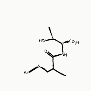 CC(=O)SCC(C)C(=O)N[C@H](C(=O)O)[C@H](C)O